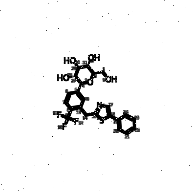 OC[C@H]1O[C@@H](c2ccc(C(F)(F)F)c(Cc3ncc(-c4ccccc4)s3)c2)[C@H](O)[C@@H](O)[C@@H]1O